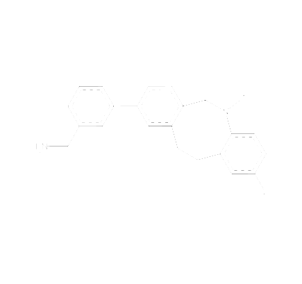 CC(=O)N1Cc2ccc(-c3cccc(CN)c3)cc2CCc2cc(Cl)ccc21